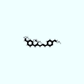 C=Cc1ccc(C=CCC(=Cc2ccc(C=C)cc2)[SiH2]Cl)cc1